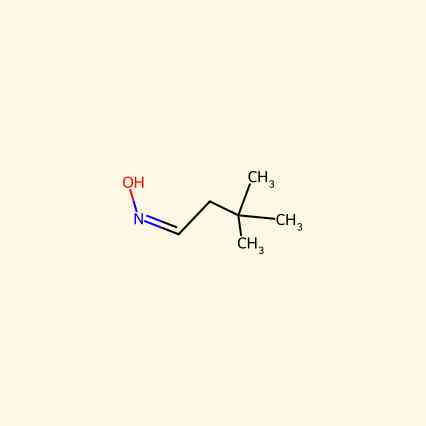 CC(C)(C)C/C=N\O